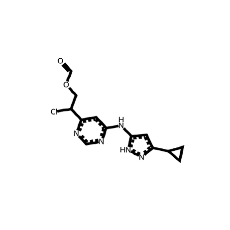 O=COCC(Cl)c1cc(Nc2cc(C3CC3)n[nH]2)ncn1